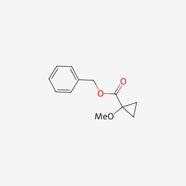 COC1(C(=O)OCc2ccccc2)CC1